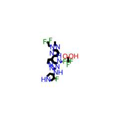 CNc1nc(N[C@@H]2CCNC[C@@H]2F)nn2ccc(-c3ccc4nc(C)n(CC(F)F)c4n3)c12.O=C(O)C(F)(F)F